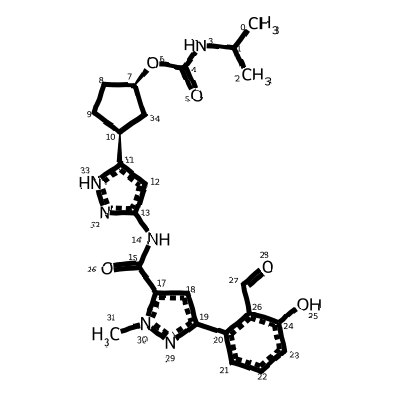 CC(C)NC(=O)O[C@@H]1CC[C@H](c2cc(NC(=O)c3cc(-c4cccc(O)c4C=O)nn3C)n[nH]2)C1